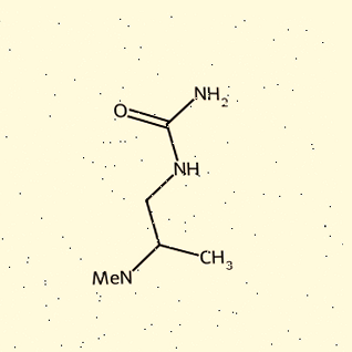 CNC(C)CNC(N)=O